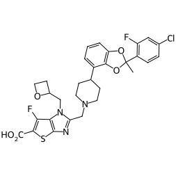 CC1(c2ccc(Cl)cc2F)Oc2cccc(C3CCN(Cc4nc5sc(C(=O)O)c(F)c5n4CC4CCO4)CC3)c2O1